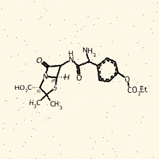 CCOC(=O)Oc1ccc(C(N)C(=O)NC2C(=O)N3[C@@H]2SC(C)(C)[C@@H]3C(=O)O)cc1